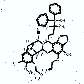 C=CCOc1c(C)c2c(c3c1C[C@H]1[C@@H]4c5c(cc(C)c(OC)c5OCOC)C[C@@H]([C@H](C#N)N1[C@H]3CCC(C)(C)[Si](O)(c1ccccc1)c1ccccc1)N4C)OCO2